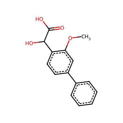 COc1cc(-c2ccccc2)ccc1C(O)C(=O)O